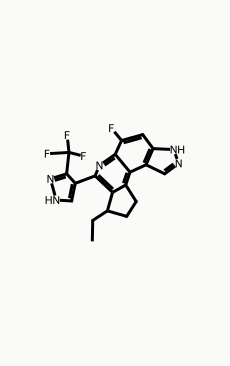 CCC1CCc2c1c(-c1c[nH]nc1C(F)(F)F)nc1c(F)cc3[nH]ncc3c21